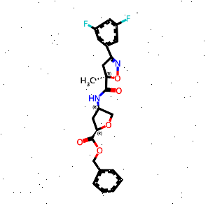 C[C@]1(C(=O)N[C@H]2CO[C@@H](C(=O)OCc3ccccc3)C2)CC(c2cc(F)cc(F)c2)=NO1